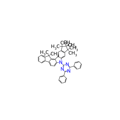 CC1(C)c2ccccc2-c2ccc3c(c21)c1cc2c(cc1n3-c1nc(-c3ccccc3)nc(-c3ccccc3)n1)C(C)(C)C(C)(C)C2(C)C